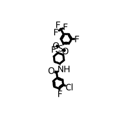 O=C(N[C@H]1CC[C@@](F)(S(=O)(=O)c2cc(F)cc(C(F)(F)F)c2)CC1)c1ccc(F)c(Cl)c1